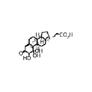 C[C@]12CC[C@H]3[C@@H](CCC4=CC(=O)C(O)C(O)(O)[C@@]43C)[C@@H]1CC[C@@H]2CCC(=O)O